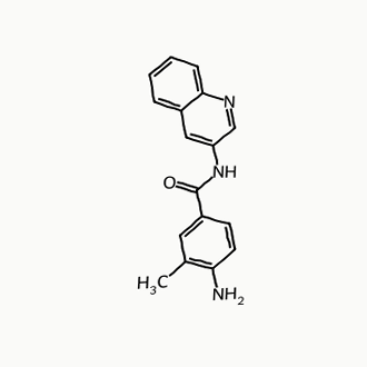 Cc1cc(C(=O)Nc2cnc3ccccc3c2)ccc1N